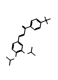 CC(C)Oc1ccc(/C=C/C(=O)c2ccc(C(F)(F)F)cc2)cc1OC(C)C